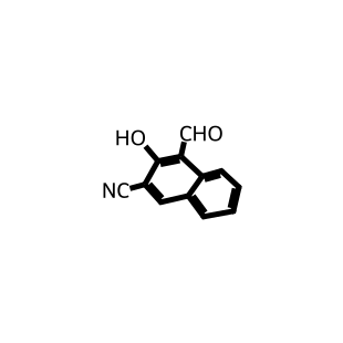 N#Cc1cc2ccccc2c(C=O)c1O